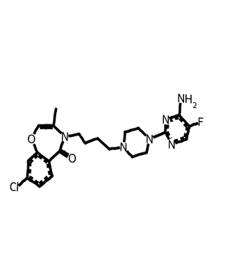 CC1=COc2cc(Cl)ccc2C(=O)N1CCCCN1CCN(c2ncc(F)c(N)n2)CC1